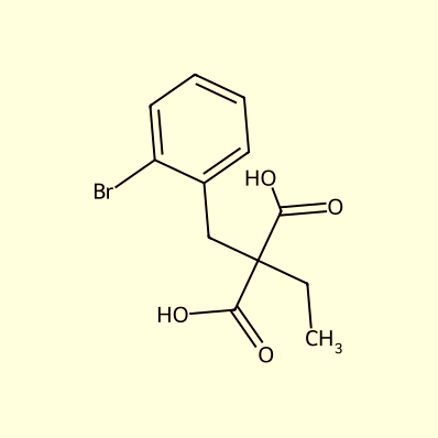 CCC(Cc1ccccc1Br)(C(=O)O)C(=O)O